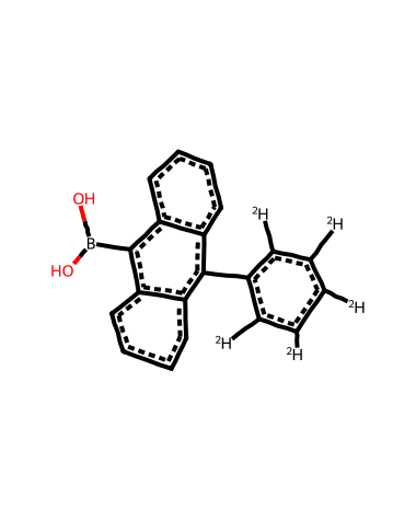 [2H]c1c([2H])c([2H])c(-c2c3ccccc3c(B(O)O)c3ccccc23)c([2H])c1[2H]